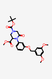 COC(=O)C1CN(C(=O)OC(C)(C)C)CC(=O)N1c1cccc(OCc2cc(OC)cc(OC)c2)c1